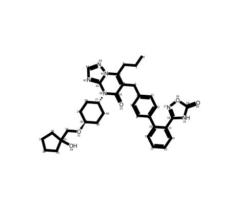 CCCc1c(Cc2ccc(-c3ccccc3-c3noc(=O)[nH]3)cc2)c(=O)n([C@H]2CC[C@H](OCC3(O)CCCC3)CC2)c2ncnn12